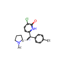 CCc1ccc(/C(=C/[C@H]2CCCN2C(C)=O)c2ccc(Cl)c(=O)[nH]2)cc1